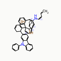 C=C/C=C\C=C/C1(C2=C(S)C=CCC2c2ccc3c4ccccc4n(-c4ccccc4)c3c2)c2ccccc2/C=C(N/C=C\C=C)\C=C/C1S